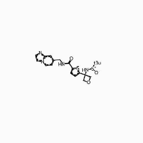 CC(C)(C)[S+]([O-])NC1(c2ccc(C(=O)NCc3ccn4ccnc4c3)s2)COC1